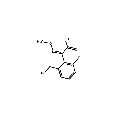 CON=C(C(=O)O)c1c(F)cccc1CBr